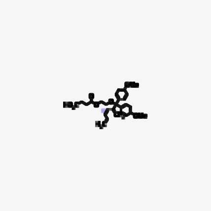 C=C/C=C\C(=C)C(OCCOC(=O)CCC(=O)O)(c1ccc(OC)cc1)c1ccc(OC)cc1